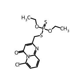 CCOP(=S)(OCC)SCc1cc(=O)n2c(Cl)cccc2n1